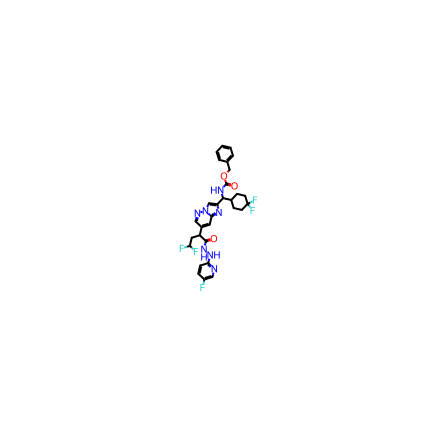 O=C(NC(c1cn2ncc(C(CC(F)F)C(=O)NNc3ccc(F)cn3)cc2n1)C1CCC(F)(F)CC1)OCc1ccccc1